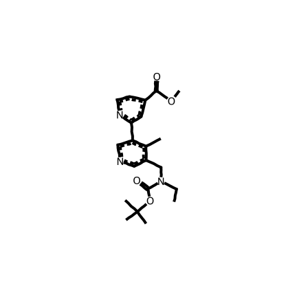 CCN(Cc1cncc(-c2cc(C(=O)OC)ccn2)c1C)C(=O)OC(C)(C)C